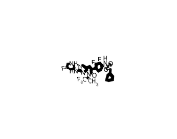 CC(n1c(=O)c(-c2ccc(NS(=O)(=O)Cc3ccccc3)c(F)c2F)cc2cnc(N[C@@H]3CNC[C@@H](F)C3)nc21)C(F)(F)F